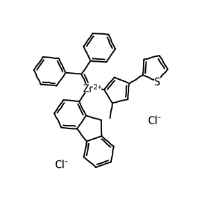 CC1C=C(c2cccs2)C=[C]1[Zr+2](=[C](c1ccccc1)c1ccccc1)[c]1cccc2c1Cc1ccccc1-2.[Cl-].[Cl-]